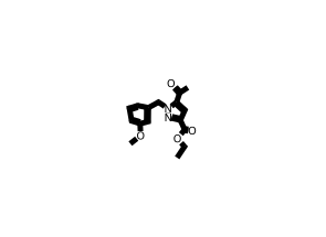 CCOC(=O)c1cc(C(C)=O)n(Cc2cccc(OC)c2)n1